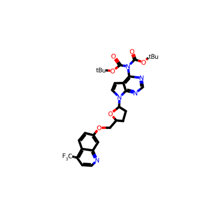 CC(C)(C)OC(=O)N(C(=O)OC(C)(C)C)c1ncnc2c1ccn2C1CCC(COc2ccc3c(C(F)(F)F)ccnc3c2)O1